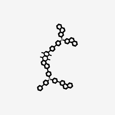 CC1C=C(c2ccc(-c3ccc(N(c4ccc5c(ccc6ccccc65)c4)c4ccc5c(ccc6ccccc65)c4)cc3)cc2)C(C)C2=C1C(C)c1ccc3cc(-c4ccc(N(c5ccc(-c6ccccc6)cc5)c5ccc(-c6ccc7c(ccc8ccccc87)c6)cc5)cc4)ccc3c1C2C